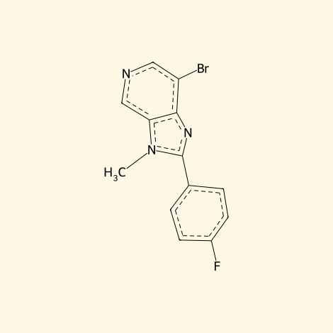 Cn1c(-c2ccc(F)cc2)nc2c(Br)cncc21